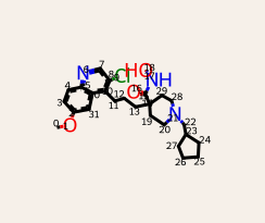 COc1ccc2ncc(Cl)c(CCCC3(C(=O)NO)CCN(CC4CCCC4)CC3)c2c1